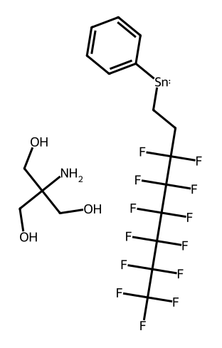 FC(F)(F)C(F)(F)C(F)(F)C(F)(F)C(F)(F)C(F)(F)C[CH2][Sn][c]1ccccc1.NC(CO)(CO)CO